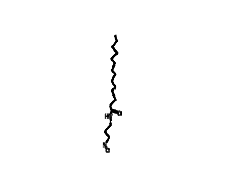 CCCCCCCCCCCCCC(=O)NCCCN=O